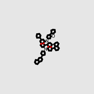 c1ccc(-c2cccc(N(c3ccc4c(c3)oc3ccccc34)c3ccccc3-c3ccccc3N(c3ccc(-c4ccc5ccccc5c4)cc3)c3ccc(-c4cccc5ccccc45)cc3)c2)cc1